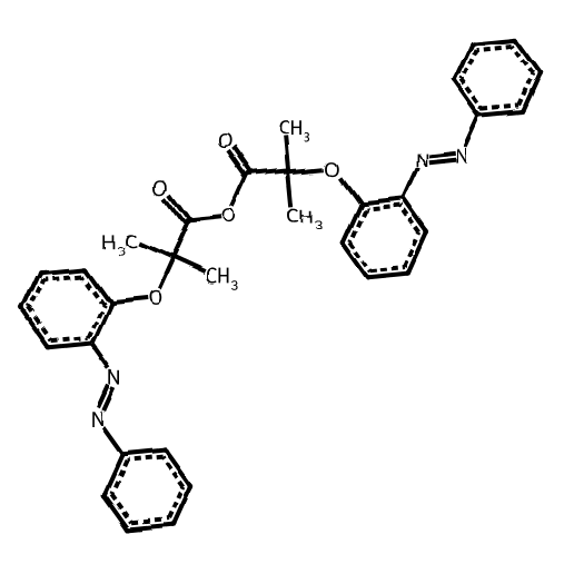 CC(C)(Oc1ccccc1/N=N/c1ccccc1)C(=O)OC(=O)C(C)(C)Oc1ccccc1/N=N/c1ccccc1